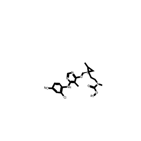 Cc1c(Nc2ccc(C#N)cc2Cl)ncnc1OC[C@]1(CCN(C)C(=O)OC(C)C)CC1C